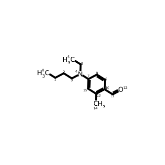 CCCCN(CC)c1ccc(C=O)c(C)c1